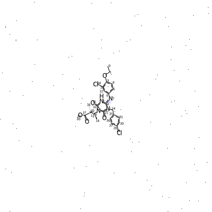 CCOc1ccc(/N=c2\[nH]c(=O)n([C@@H](C)[C@@H](C)C(=O)OC)c(=O)n2Cc2ccc(Cl)cc2)cc1Cl